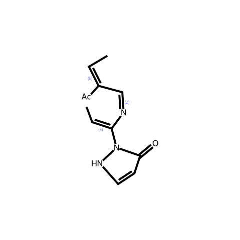 C\C=C(/C=N\C(=C/C)n1[nH]ccc1=O)C(C)=O